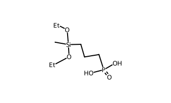 CCO[Si](C)(CCCP(=O)(O)O)OCC